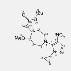 COC1CCN(c2c([N+](=O)[O-])cnn2C2CC2)CCC1NC(=O)OC(C)(C)C